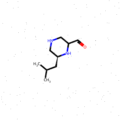 CC(C)C[C@H]1CNCC(C=O)N1